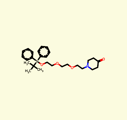 CC(C)(C)[Si](OCCOCCOCCN1CCC(=O)CC1)(c1ccccc1)c1ccccc1